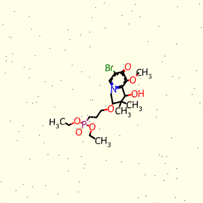 CCOP(=O)(CCCOC1Cn2cc(Br)c(=O)c(OC)c2C(O)C1(C)C)OCC